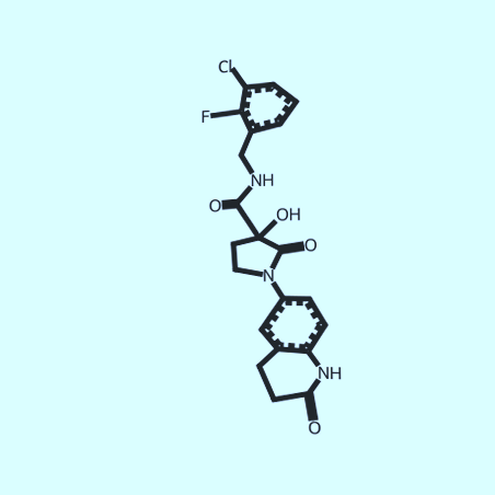 O=C1CCc2cc(N3CCC(O)(C(=O)NCc4cccc(Cl)c4F)C3=O)ccc2N1